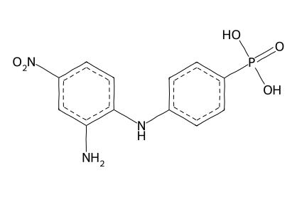 Nc1cc([N+](=O)[O-])ccc1Nc1ccc(P(=O)(O)O)cc1